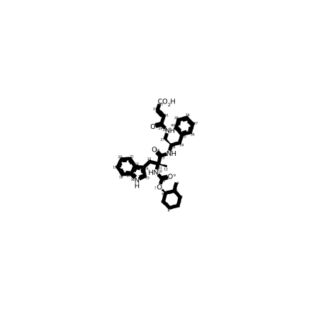 CC1CCCC[C@H]1OC(=O)N[C@](C)(Cc1c[nH]c2ccccc12)C(=O)N[C@@H](CNC(=O)C=CC(=O)O)Cc1ccccc1